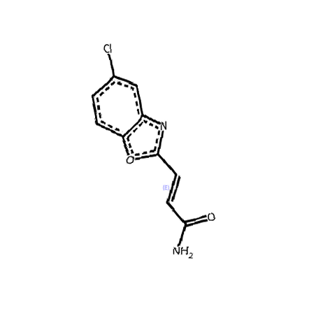 NC(=O)/C=C/c1nc2cc(Cl)ccc2o1